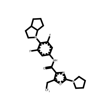 O=C(Nc1cc(F)c(N2CCC3CCCC32)c(F)c1)c1nc(N2CCCC2)oc1CC(F)(F)F